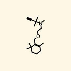 C#CC(C)(C)N(C)CCOCC1=C(C)CCCC1(C)C